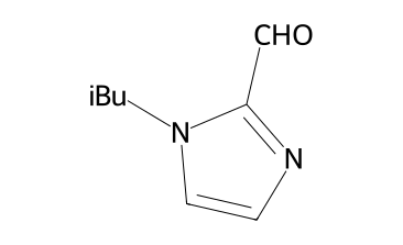 CCC(C)n1ccnc1C=O